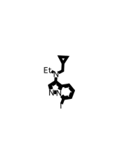 CCN(CC1CC1)c1cnn2c(I)cccc12